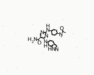 CC(=O)N(C)c1ccc(Nc2ncc(C(N)=O)c(Nc3ccc4cn[nH]c4c3)n2)cc1